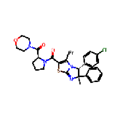 CC(C)C1=C(C(=O)N2CCC[C@H]2C(=O)N2CCOCC2)SC2=N[C@@](C)(c3ccccc3)[C@@H](c3ccc(Cl)cc3)N21